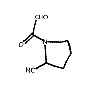 N#CC1CCCN1C(=O)C=O